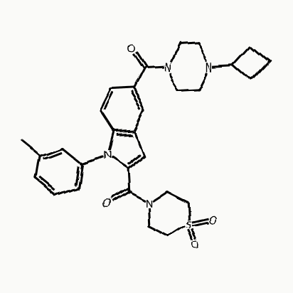 Cc1cccc(-n2c(C(=O)N3CCS(=O)(=O)CC3)cc3cc(C(=O)N4CCN(C5CCC5)CC4)ccc32)c1